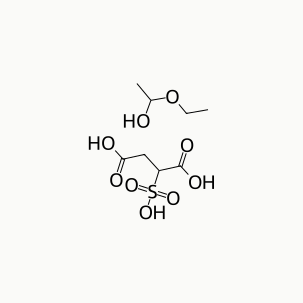 CCOC(C)O.O=C(O)CC(C(=O)O)S(=O)(=O)O